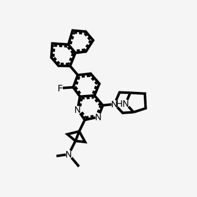 CN(C)C12CC1(c1nc(N3CC4CCC(C3)N4)c3ccc(-c4cccc5ccccc45)c(F)c3n1)C2